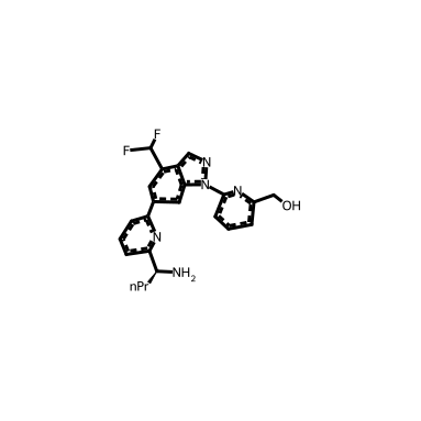 CCC[C@H](N)c1cccc(-c2cc(C(F)F)c3cnn(-c4cccc(CO)n4)c3c2)n1